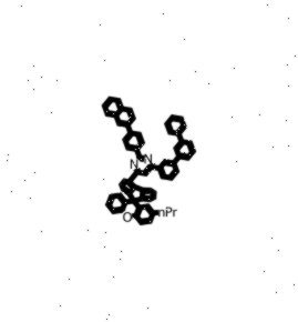 CCCc1ccc2c(c1)C1(c3ccccc3O2)c2ccccc2-c2c(-c3cc(-c4cccc(-c5cccc(-c6ccccc6)c5)c4)nc(-c4ccc(-c5ccc6ccccc6c5)cc4)n3)cccc21